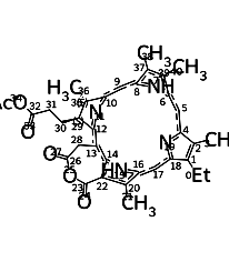 CCC1=C(C)c2cc3[nH]c(cc4nc(c5c6[nH]c(cc1n2)c(C)c6C(=O)OC(=O)C5)[C@@H](CCC(=O)OC(C)=O)[C@@H]4C)c(C)c3C